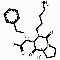 NCCCC[C@H]1C(=O)N2CCC[C@H]2C(=O)N1[C@@H](CCc1ccccc1)C(=O)O